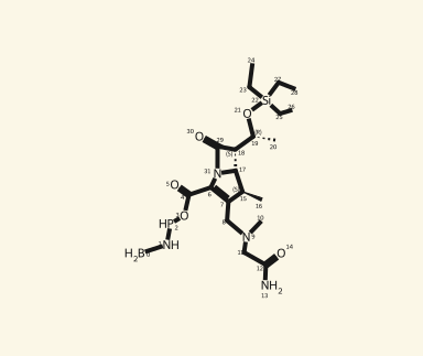 BNPOC(=O)C1=C(CN(C)CC(N)=O)[C@H](C)C2[C@@H]([C@@H](C)O[Si](CC)(CC)CC)C(=O)N12